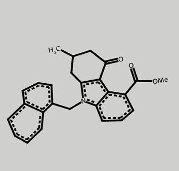 COC(=O)c1cccc2c1c1c(n2Cc2cccc3ccccc23)CC(C)CC1=O